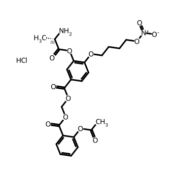 CC(=O)Oc1ccccc1C(=O)OCOC(=O)c1ccc(OCCCCO[N+](=O)[O-])c(OC(=O)[C@H](C)N)c1.Cl